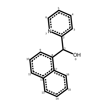 OC(c1ccccn1)c1cccc2ccccc12